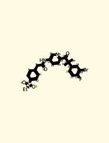 CCS(=O)(=O)c1ccc(CC(=O)Nc2ccc(C(=O)C(C)(C)c3ccc(F)c(Br)c3)nc2)cc1